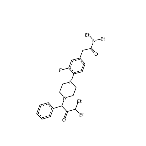 CCC(CC)C(=O)C(c1ccccc1)N1CCN(c2ccc(CC(=O)N(CC)CC)cc2F)CC1